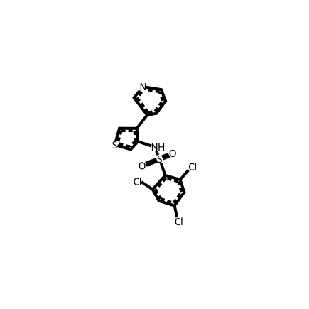 O=S(=O)(Nc1cscc1-c1cccnc1)c1c(Cl)cc(Cl)cc1Cl